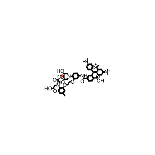 Cc1ccc(N(CC(=O)O)CC(=O)O)c(OCCOc2cc(NC(=O)c3ccc(C(=O)O)c(C4=C5C=CC(=[N+](C)C)C=C5[Si](C)(C)c5cc(N(C)C)ccc54)c3)ccc2N(CC(=O)O)CC(=O)O)c1